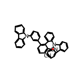 N#Cc1ccc(-c2cccc(-n3c4ccccc4c4ccccc43)c2)c(-c2ccccc2-n2c3ccccc3c3ccccc32)c1C#N